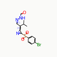 CC(C)C(/C=N\NC=O)=C1N=C/1S(=O)(=O)c1ccc(Br)cc1